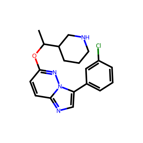 CC(Oc1ccc2ncc(-c3cccc(Cl)c3)n2n1)C1CCCNC1